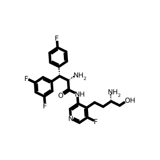 N[C@H](CO)CCc1c(F)cncc1NC(=O)[C@@H](N)[C@@H](c1ccc(F)cc1)c1cc(F)cc(F)c1